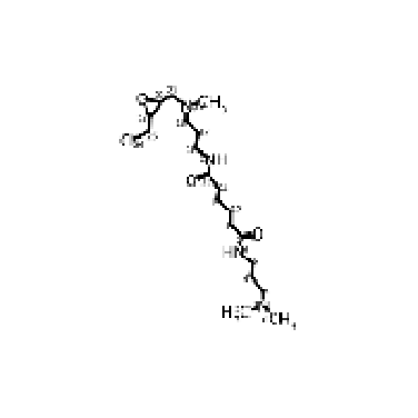 CN(C)CCCNC(=O)CCCCC(=O)NCCCN(C)CC1OC1CCl